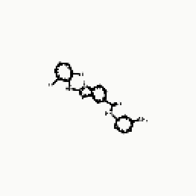 Nc1cccc(NC(=O)c2ccc3[nH]c(Nc4c(Cl)cccc4Cl)nc3c2)c1